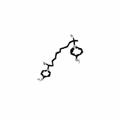 CC(Br)(CCCCCCCCC(Br)[n+]1ccc(N)cc1)[n+]1ccc(N)cc1